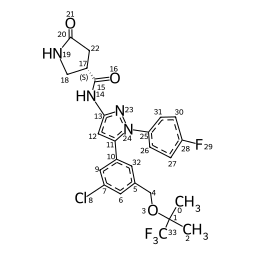 CC(C)(OCc1cc(Cl)cc(-c2cc(NC(=O)[C@@H]3CNC(=O)C3)nn2-c2ccc(F)cc2)c1)C(F)(F)F